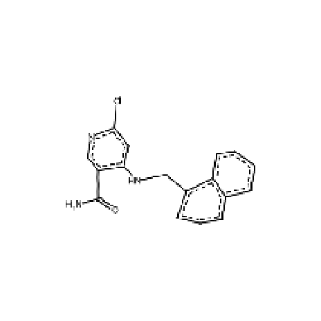 NC(=O)c1cnc(Cl)cc1NCc1cccc2ccccc12